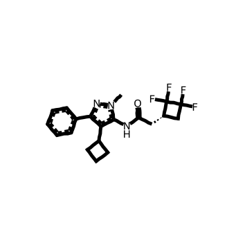 Cn1nc(-c2ccccc2)c(C2CCC2)c1NC(=O)C[C@H]1CC(F)(F)C1(F)F